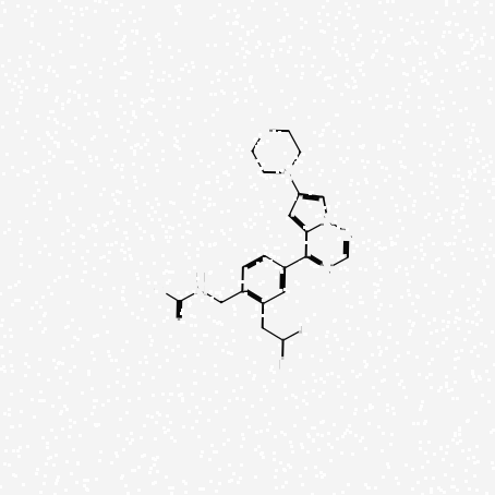 O=C(O)NCc1ccc(-c2ncnn3cc(N4CCOCC4)cc23)cc1CC(F)F